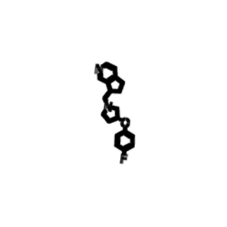 Fc1ccc(O[C@H]2CCN(CC3CCc4ccncc43)C2)cc1